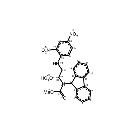 COC(=O)N(C1c2ccccc2-c2ccccc21)[C@@H](CNc1ccc([N+](=O)[O-])cc1[N+](=O)[O-])C(=O)O